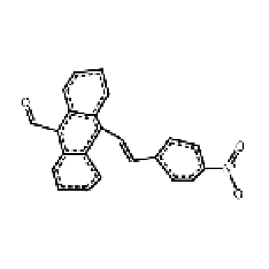 O=Cc1c2ccccc2c(C=Cc2ccc([N+](=O)[O-])cc2)c2ccccc12